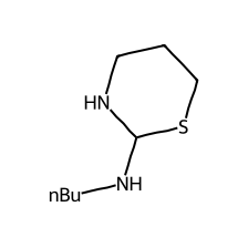 CCCCNC1NCCCS1